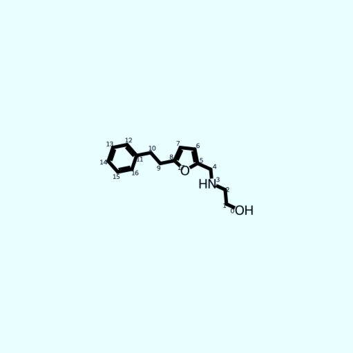 OCCNCc1ccc(CCc2ccccc2)o1